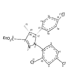 CCOC(=O)C1=NN(c2ccc(Cl)cc2Cl)[C@@H](c2ccc(Cl)cc2)[C@H]1C